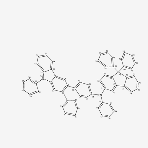 c1ccc(-c2cc3c(cc2-c2ccc(N(c4ccccc4)c4ccc5c(c4)-c4ccccc4C5(c4ccccc4)c4ccccc4)cc2)c2ccccc2n3-c2ccccc2)cc1